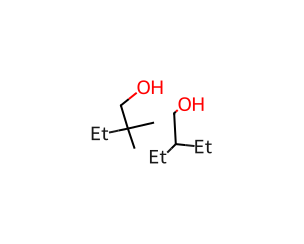 CCC(C)(C)CO.CCC(CC)CO